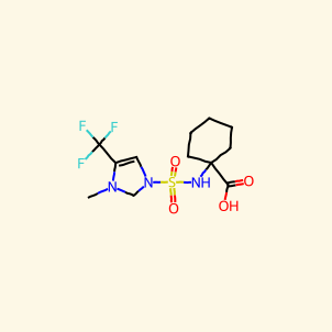 CN1CN(S(=O)(=O)NC2(C(=O)O)CCCCC2)C=C1C(F)(F)F